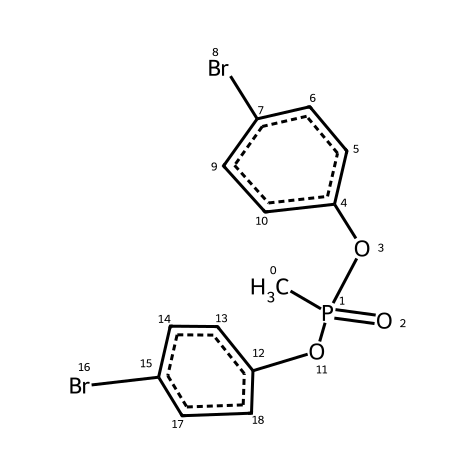 CP(=O)(Oc1ccc(Br)cc1)Oc1ccc(Br)cc1